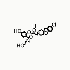 CN(CCO)C(=O)c1ccc(O)cc1OC[C@@H](O)CN1CCC2(CC1)Cc1cc(Cl)ccc1O2